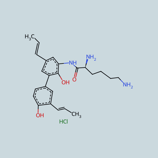 CC=Cc1cc(NC(=O)[C@@H](N)CCCCN)c(O)c(-c2ccc(O)c(C=CC)c2)c1.Cl